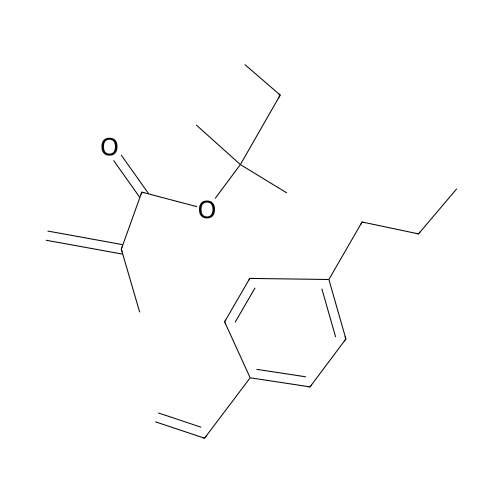 C=C(C)C(=O)OC(C)(C)CC.C=Cc1ccc(CCC)cc1